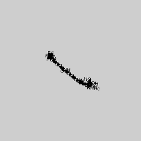 CC(=O)N[C@H]1[C@H](OCCc2cn(CCOCCOCCOCCNC(=O)CCOCCOCCC(=O)Oc3c(F)c(F)c(F)c(F)c3F)nn2)O[C@H](CO)[C@H](O)[C@@H]1O